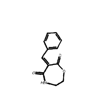 O=C1NCCOC(=O)C1=Cc1ccccc1